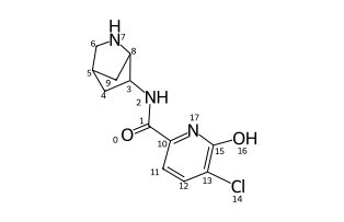 O=C(NC1CC2CNC1C2)c1ccc(Cl)c(O)n1